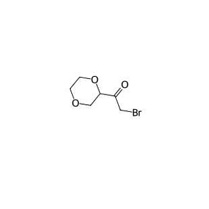 O=C(CBr)C1COCCO1